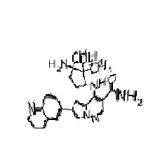 CC1(C)[C@H](Nc2c(C(N)=O)cnn3cc(-c4ccc5ncccc5c4)cc23)CC[C@@]1(C)N